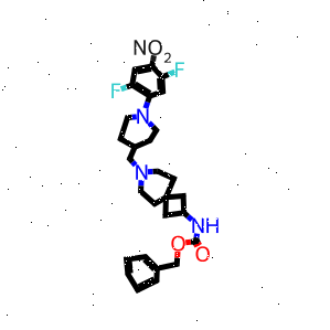 O=C(NC1CC2(CCN(CC3CCN(c4cc(F)c([N+](=O)[O-])cc4F)CC3)CC2)C1)OCc1ccccc1